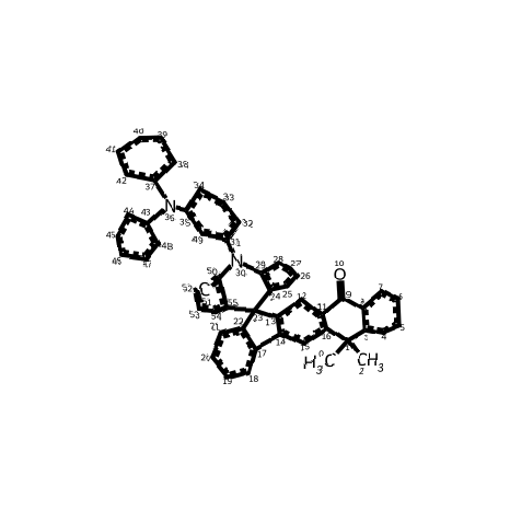 CC1(C)c2ccccc2C(=O)c2cc3c(cc21)-c1ccccc1C31c2ccccc2N(c2cccc(N(c3ccccc3)c3ccccc3)c2)c2ccccc21